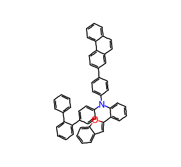 c1ccc(-c2ccccc2-c2ccc(N(c3ccc(-c4ccc5c(ccc6ccccc65)c4)cc3)c3ccccc3-c3cc4ccccc4o3)cc2)cc1